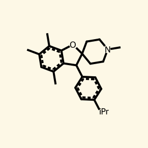 Cc1cc(C)c2c(c1C)OC1(CCN(C)CC1)C2c1ccc(C(C)C)cc1